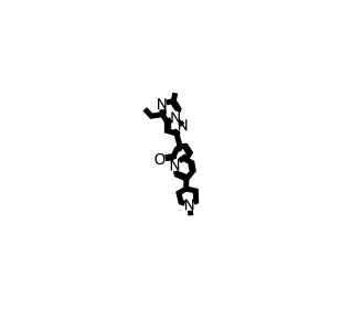 CCc1nc(C)cn2nc(C3=C\C(=O)N4C=C(C5CCN(C)CC5)C=C\C4=C/C=C/3)cc12